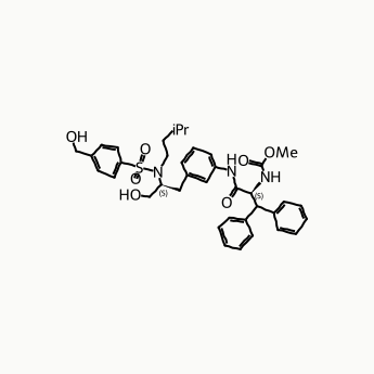 COC(=O)N[C@H](C(=O)Nc1cccc(C[C@@H](CO)N(CCC(C)C)S(=O)(=O)c2ccc(CO)cc2)c1)C(c1ccccc1)c1ccccc1